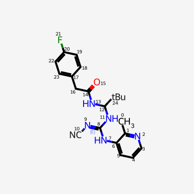 Cc1ncccc1N/C(=N\C#N)NC(NC(=O)Cc1ccc(F)cc1)C(C)(C)C